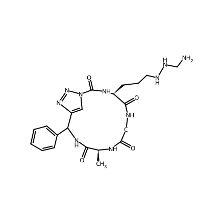 C[C@@H]1NC(=O)CNC(=O)[C@H](CCCNNCN)NC(=O)n2cc(nn2)C(c2ccccc2)NC1=O